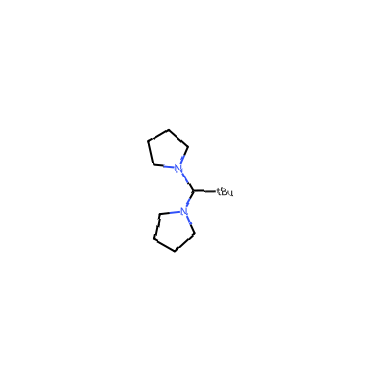 CC(C)(C)C(N1CCCC1)N1CCCC1